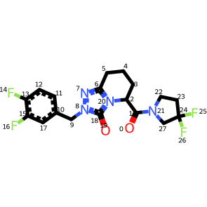 O=C(C1CCCc2nn(Cc3ccc(F)c(F)c3)c(=O)n21)N1CCC(F)(F)C1